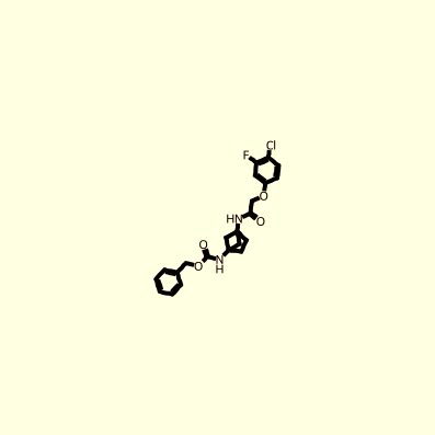 O=C(COc1ccc(Cl)c(F)c1)NC12CCC(NC(=O)OCc3ccccc3)(C1)C2